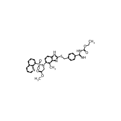 CCOC(=O)NC(=N)c1ccc(CSc2nc3c(C)c(N(CC(=O)OC)S(=O)(=O)c4cccc5cccnc45)ccc3[nH]2)cc1